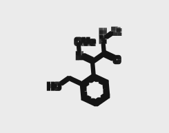 CCNC(=O)C(=NOC)c1ccccc1CO